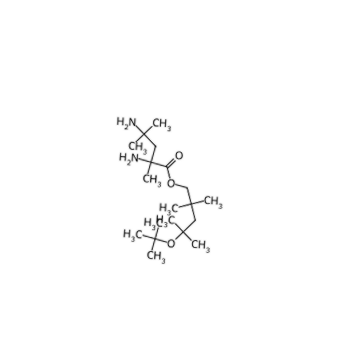 CC(C)(N)CC(C)(N)C(=O)OCC(C)(C)CC(C)(C)OC(C)(C)C